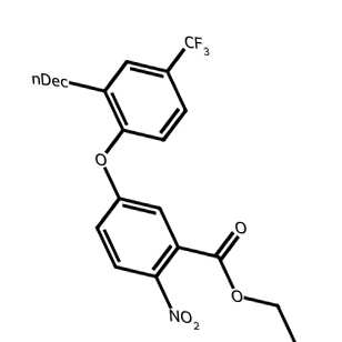 CCCCCCCCCCc1cc(C(F)(F)F)ccc1Oc1ccc([N+](=O)[O-])c(C(=O)OCCCl)c1